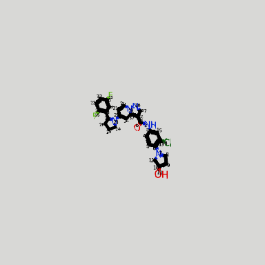 O=C(Nc1ccc(N2CCC(O)C2)c(Cl)c1)c1cnn2ccc(N3CCCC3c3cc(F)ccc3F)cc12